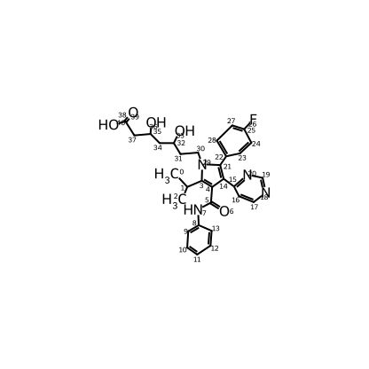 CC(C)c1c(C(=O)Nc2ccccc2)c(-c2ccncn2)c(-c2ccc(F)cc2)n1CCC(O)CC(O)CC(=O)O